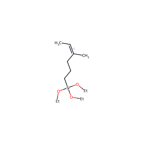 C/C=C(/C)CCC[Si](OCC)(OCC)OCC